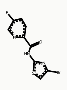 O=C(Nc1nc(Br)cs1)c1ccc(F)cn1